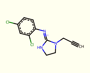 C#CCN1CCN/C1=N\c1ccc(Cl)cc1Cl